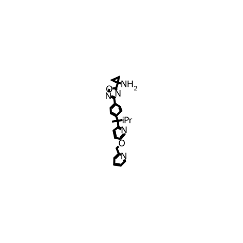 CC(C)C(C)(c1ccc(-c2noc(C3(N)CC3)n2)cc1)c1ccc(OCc2ccccn2)cn1